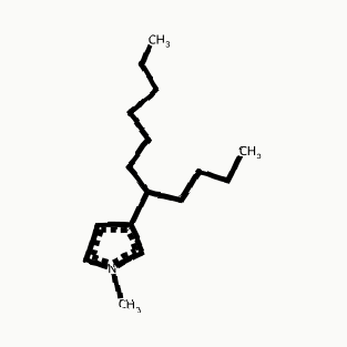 CCCCCCC(CCCC)c1ccn(C)c1